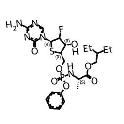 CCC(CC)COC(=O)[C@H](C)NP(=O)(OC[C@H]1S[C@@H](n2cnc(N)nc2=O)C(F)[C@H]1O)Oc1ccccc1